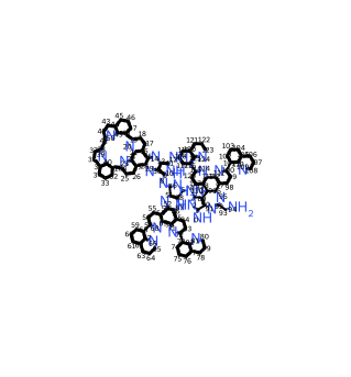 N=C1N/C(=N\C2N/C(=N\c3[nH]c(N)c4nc5c6ccc7nc6c6nc(ccc6c5nc34)c3cccc4ccc(nc43)c3ccc4cccc7c4n3)c3nc4c5ccc(-c6cccc7cccnc67)nc5c5nc(-c6cccc7cccnc67)ccc5c4nc32)C2=C1N=C(CN)N=C1c3ccc(-c4cccc5cccnc45)nc3-c3nc(-c4cccc5cccnc45)ccc3C12N